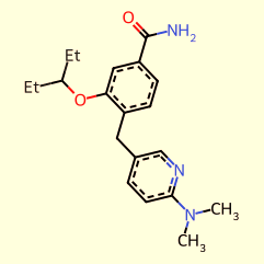 CCC(CC)Oc1cc(C(N)=O)ccc1Cc1ccc(N(C)C)nc1